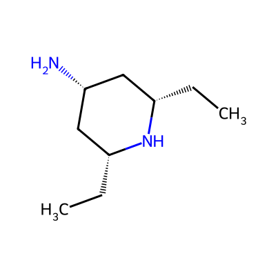 CC[C@@H]1C[C@H](N)C[C@H](CC)N1